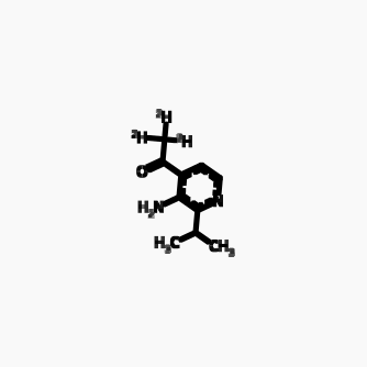 [2H]C([2H])([2H])C(=O)c1ccnc(C(C)C)c1N